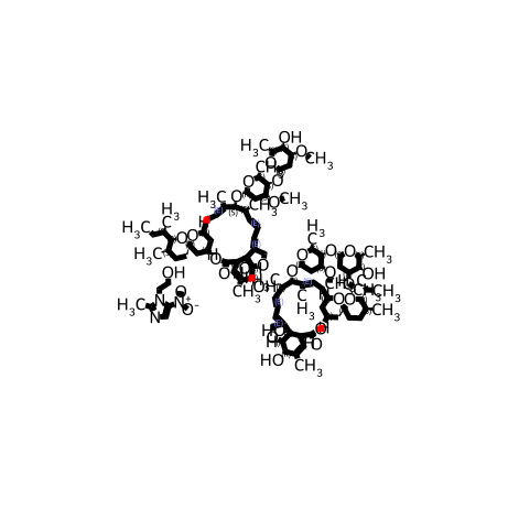 CC[C@H](C)[C@H]1O[C@]2(CC[C@@H]1C)C[C@@H]1C[C@@H](C/C=C(\C)[C@@H](O[C@H]3C[C@H](OC)[C@@H](O[C@H]4C[C@H](OC)[C@@H](O)[C@H](C)O4)[C@H](C)O3)[C@@H](C)/C=C/C=C3\CO[C@@H]4[C@H](O)C(C)=C[C@@H](C(=O)O1)[C@]34O)O2.CO[C@H]1C[C@H](O[C@H]2[C@H](C)O[C@@H](O[C@@H]3/C(C)=C/C[C@@H]4C[C@@H](C[C@]5(CC[C@H](C)[C@@H](C(C)C)O5)O4)OC(=O)[C@@H]4C=C(C)[C@@H](O)[C@H]5OC/C(=C\C=C\[C@@H]3C)[C@]54O)C[C@@H]2OC)O[C@@H](C)[C@@H]1O.Cc1ncc([N+](=O)[O-])n1CCO